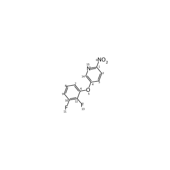 O=[N+]([O-])c1ccc(Oc2cccc(F)c2F)cn1